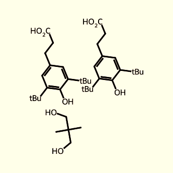 CC(C)(C)c1cc(CCC(=O)O)cc(C(C)(C)C)c1O.CC(C)(C)c1cc(CCC(=O)O)cc(C(C)(C)C)c1O.CC(C)(CO)CO